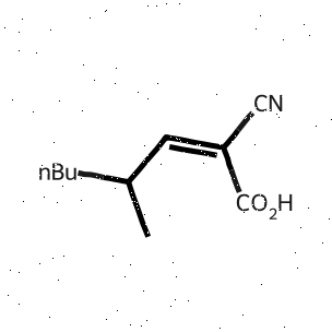 CCCCC(C)C=C(C#N)C(=O)O